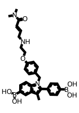 Cc1c(-c2ccc(B(O)O)cc2)n(Cc2ccc(OCCNC/C=C/C(=O)N(C)C)cc2)c2ccc(B(O)O)cc12